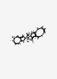 C[Si](C)(C1C=C2CCCCCCC2=C1)C1C=C2CCCCCC2=C1